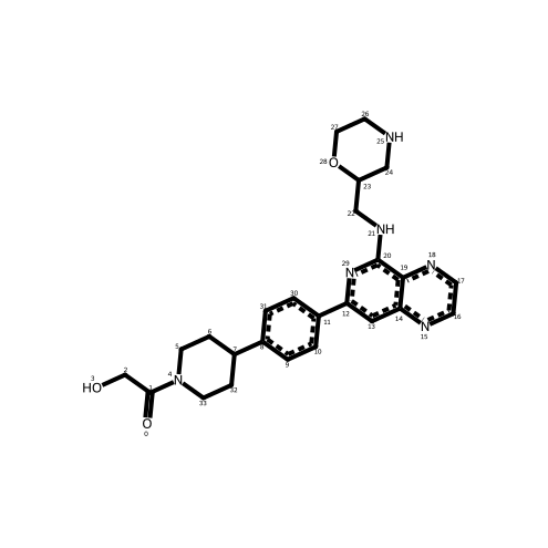 O=C(CO)N1CCC(c2ccc(-c3cc4nccnc4c(NCC4CNCCO4)n3)cc2)CC1